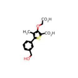 Cc1c(-c2cccc(CO)c2)sc(C(=O)O)c1OCC(=O)O